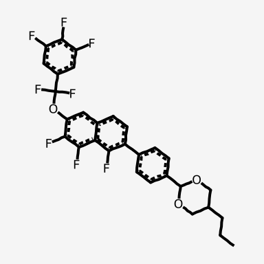 CCCC1COC(c2ccc(-c3ccc4cc(OC(F)(F)c5cc(F)c(F)c(F)c5)c(F)c(F)c4c3F)cc2)OC1